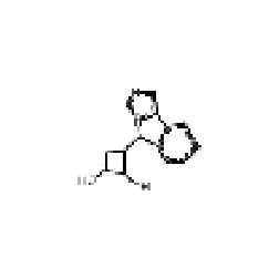 OC1CC(C2c3ccccc3-c3cncn32)C1O